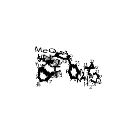 COc1ncc(-c2ccc3nc(N)n(CC4(CN5CCOCC5)CC4)c3c2)cc1NS(=O)(=O)c1ccc(F)cc1F